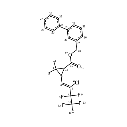 CC1(C)C(C=C(Cl)C(F)(F)C(F)(F)F)C1C(=O)OCc1cccc(-c2ccccc2)c1